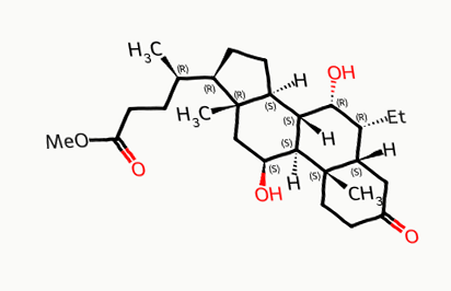 CC[C@H]1[C@@H](O)[C@@H]2[C@H]([C@@H](O)C[C@]3(C)[C@@H]([C@H](C)CCC(=O)OC)CC[C@@H]23)[C@@]2(C)CCC(=O)C[C@@H]12